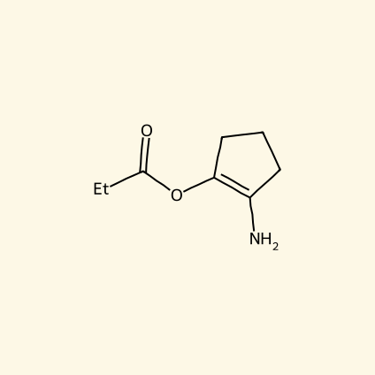 CCC(=O)OC1=C(N)CCC1